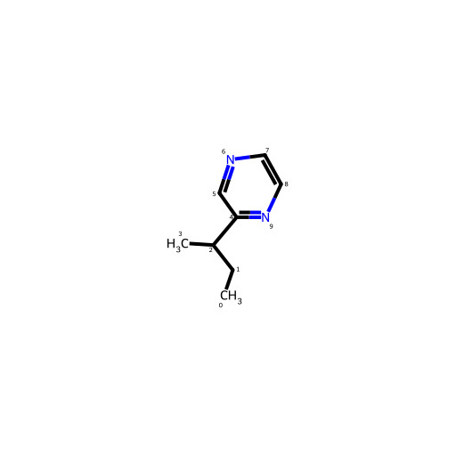 CCC(C)c1cnccn1